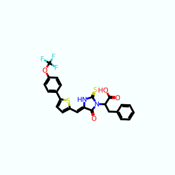 O=C(O)C(Cc1ccccc1)N1C(=O)C(=Cc2ccc(-c3ccc(OC(F)(F)F)cc3)s2)NC1=S